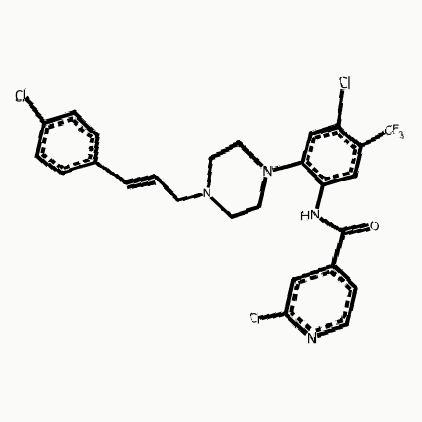 O=C(Nc1cc(C(F)(F)F)c(Cl)cc1N1CCN(CC=Cc2ccc(Cl)cc2)CC1)c1ccnc(Cl)c1